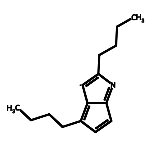 CCCCC1=[C]C2=C(CCCC)C=CC2=N1